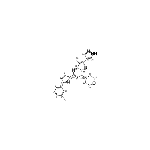 Cc1cccc(-c2ccn(-c3cc(N4CCOCC4)c4nc(-c5cn[nH]c5)n(C)c4n3)n2)c1